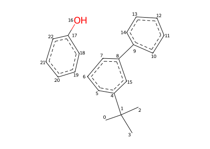 CC(C)(C)c1cccc(-c2ccccc2)c1.Oc1ccccc1